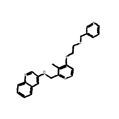 Cc1c(SCCSCc2cccnc2)ccnc1CNc1cnc2ccccc2c1